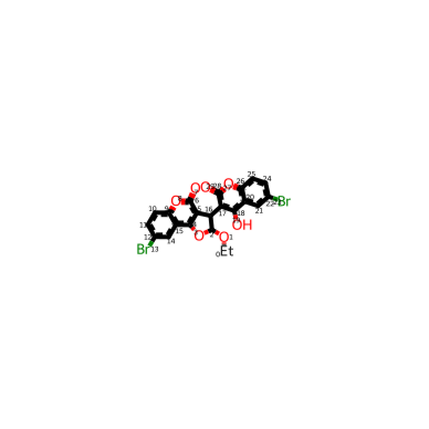 CCOC1Oc2c(c(=O)oc3ccc(Br)cc23)C1c1c(O)c2cc(Br)ccc2oc1=O